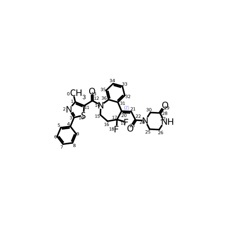 Cc1nc(-c2ccccc2)sc1C(=O)N1CCC(F)(F)/C(=C\C(=O)N2CCNC(=O)C2)c2ccccc21